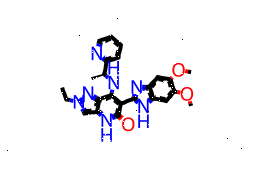 CCn1cc2[nH]c(=O)c(-c3nc4cc(OC)c(OC)cc4[nH]3)c(N[C@@H](C)c3ccccn3)c2n1